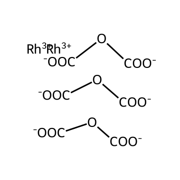 O=C([O-])OC(=O)[O-].O=C([O-])OC(=O)[O-].O=C([O-])OC(=O)[O-].[Rh+3].[Rh+3]